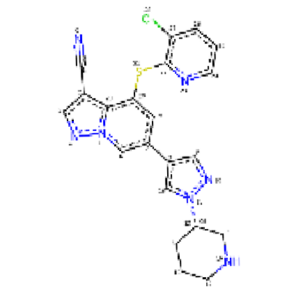 N#Cc1cnn2cc(-c3cnn([C@H]4CCCNC4)c3)cc(Sc3ncccc3Cl)c12